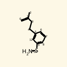 C=C(C)CCc1cccc(SN)c1